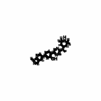 CN(c1ncc(-c2ccc(-c3cnc4c(cnn4C)c3)cc2O)nn1)C1CC(C)(C)NC(C)(C)C1